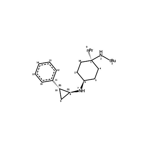 CCC[C@]1(NC(C)(C)C)CC[C@@H](N[C@H]2C[C@@H]2c2ccccc2)CC1